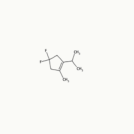 CC1=C(C(C)C)CC(F)(F)C1